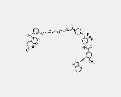 Cc1ccc(C(=O)Nc2ccc(CN3CCN(C(=O)COCCOCCOCCSc4cccc5c4C(=O)N(C4CCC(=O)NC4=O)C5=O)CC3)c(C(F)(F)F)c2)cc1C#Cc1cnc2cccnn12